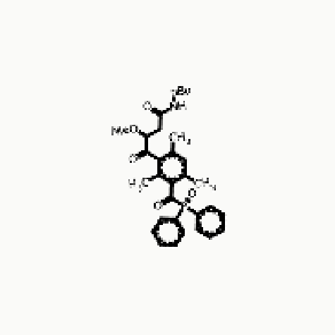 CCCCNC(=O)CC(OC)C(=O)c1c(C)cc(C)c(C(=O)P(=O)(c2ccccc2)c2ccccc2)c1C